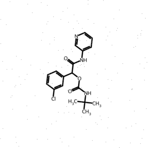 CC(C)(C)NC(=O)OC(C(=O)Nc1cccnc1)c1cccc(Cl)c1